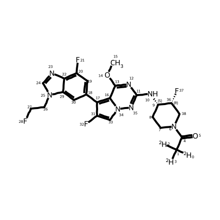 [2H]C([2H])([2H])C(=O)N1CC[C@H](Nc2nc(OC)c3c(-c4cc(F)c5ncn(CCF)c5c4)c(F)cn3n2)[C@H](F)C1